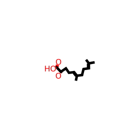 CC(C)=CCCC(C)=CCCC(=O)C(=O)O